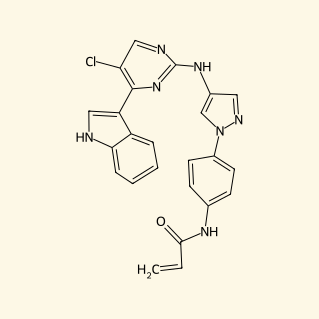 C=CC(=O)Nc1ccc(-n2cc(Nc3ncc(Cl)c(-c4c[nH]c5ccccc45)n3)cn2)cc1